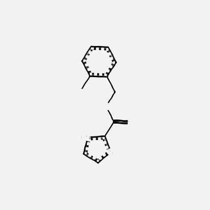 O=C(OCc1ccccc1Cl)c1ncc[nH]1